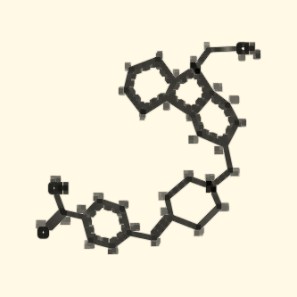 CCn1c2ccccc2c2cc(CN3CCC(=Cc4ccc(C(=O)O)cc4)CC3)ccc21